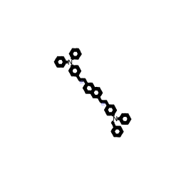 C(=C\c1ccc2cc(/C=C/c3ccc(N(c4ccccc4)c4ccccc4)cc3)ccc2c1)/c1ccc(N(Cc2ccccc2)c2ccccc2)cc1